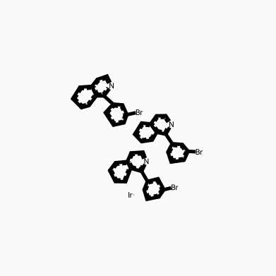 Brc1cccc(-c2nccc3ccccc23)c1.Brc1cccc(-c2nccc3ccccc23)c1.Brc1cccc(-c2nccc3ccccc23)c1.[Ir]